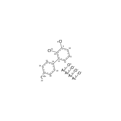 CC(=O)[O-].CC(=O)[O-].CC(=O)[O-].CC(=O)[O-].Clc1cccc(-c2ccccc2)c1Cl.[C+4]